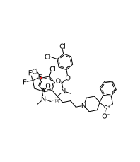 CN(C[C@](CCCN1CCC2(CC1)c1ccccc1C[S+]2[O-])(c1ccc(Cl)c(Cl)c1)N(C)C(=O)Oc1ccc(Cl)c(Cl)c1)C(=O)CC(F)(F)F